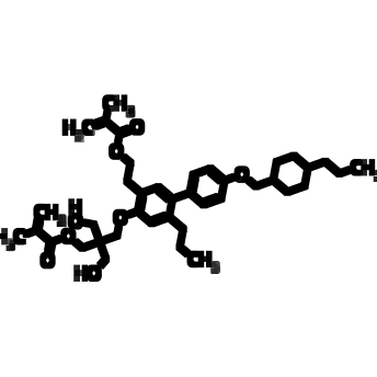 C=C(C)C(=O)OCCc1cc(-c2ccc(OCC3CCC(CCC)CC3)cc2)c(CCC)cc1OCC(CO)(CO)COC(=O)C(=C)C